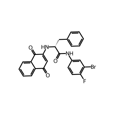 O=C1C=C(N[C@H](Cc2ccccc2)C(=O)Nc2ccc(F)c(Br)c2)C(=O)c2ccccc21